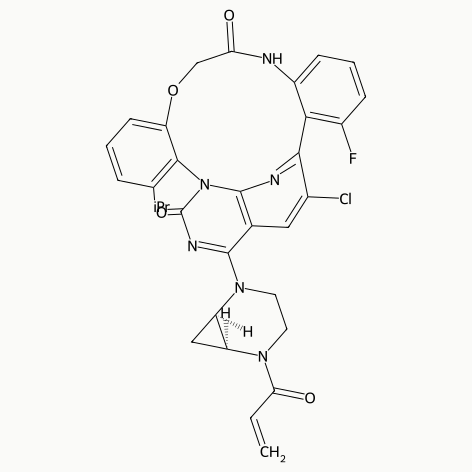 C=CC(=O)N1CCN(c2nc(=O)n3c4nc(c(Cl)cc24)-c2c(F)cccc2NC(=O)COc2cccc(C(C)C)c2-3)[C@@H]2C[C@@H]21